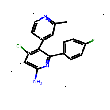 Cc1cc(-c2c(Cl)cc(N)nc2-c2ccc(F)cc2)ccn1